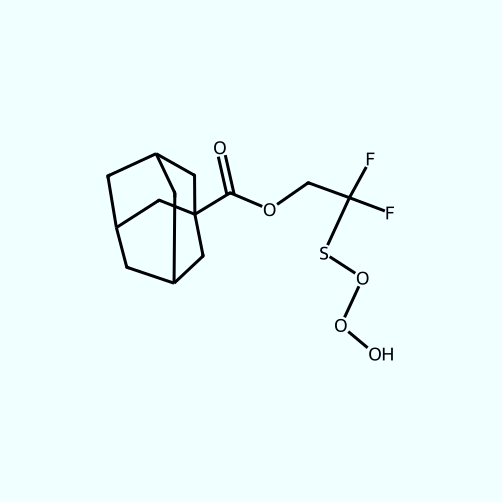 O=C(OCC(F)(F)SOOO)C12CC3CC(CC(C3)C1)C2